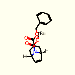 CC(C)(C)OC(=O)N1[C@@H]2C=C[C@H]1C[C@H](C(=O)OCc1ccccc1)C2